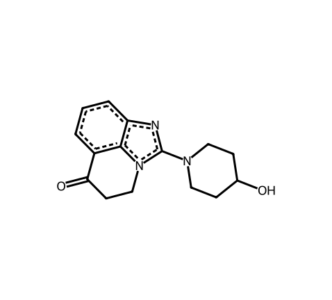 O=C1CCn2c(N3CCC(O)CC3)nc3cccc1c32